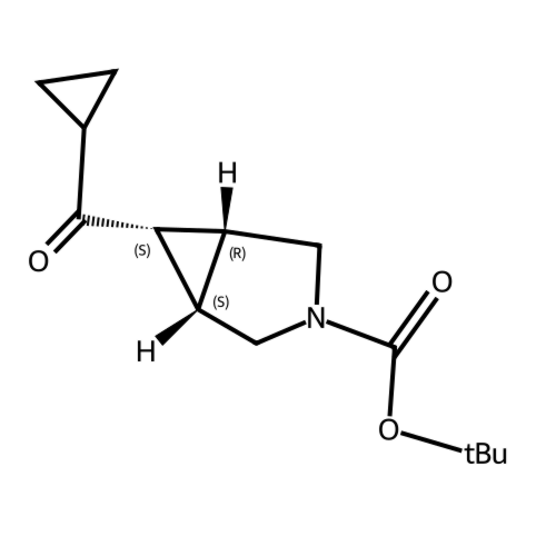 CC(C)(C)OC(=O)N1C[C@@H]2[C@H](C1)[C@@H]2C(=O)C1CC1